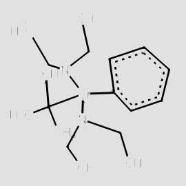 CCN(CC)[Si](c1ccccc1)(N(CC)CC)C(C)(C)C